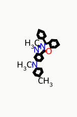 Cc1ccc(N(C)c2ccc3c(=O)n(C(c4ccccc4)c4ccccc4)c(C)nc3c2)cc1